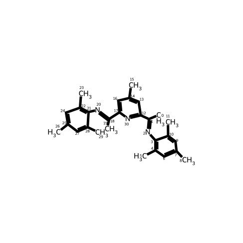 C/C(=N\c1c(C)cc(C)cc1C)c1cc(C)cc(/C(C)=N/c2c(C)cc(C)cc2C)n1